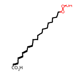 O=C(O)C=CC=CC=CC=CCCCCCCCCCCCOOO